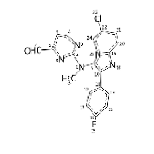 CN(c1nccc(C=O)n1)c1c(-c2ccc(F)cc2)nc2ccc(Cl)cn12